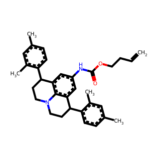 C=CCCOC(=O)Nc1cc2c3c(c1)C(c1ccc(C)cc1C)CCN3CCC2c1ccc(C)cc1C